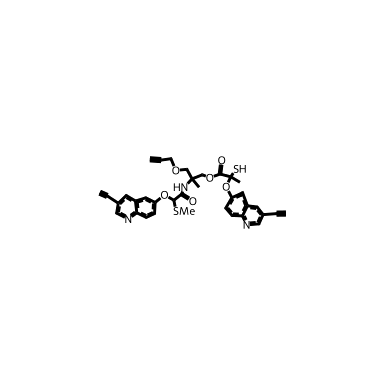 C#CCOCC(C)(COC(=O)C(C)(S)Oc1ccc2ncc(C#C)cc2c1)NC(=O)C(Oc1ccc2ncc(C#C)cc2c1)SC